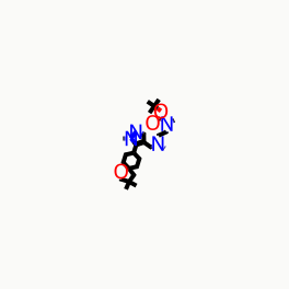 CN(CCN(C)C(=O)OC(C)(C)C)Cc1cnn(C)c1C1CCC2(CC1)CC(C)(C)CO2